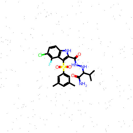 Cc1cc(C)cc(S(=O)(=O)c2c(C(=O)NNC(C(N)=O)C(C)C)[nH]c3ccc(Cl)c(F)c23)c1